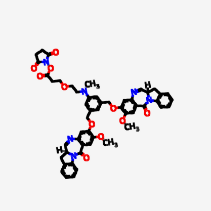 COc1cc2c(cc1OCc1cc(COc3cc4c(cc3OC)C(=O)N3c5ccccc5C[C@H]3C=N4)cc(N(C)CCOCCC(=O)ON3C(=O)CCC3=O)c1)N=C[C@@H]1Cc3ccccc3N1C2=O